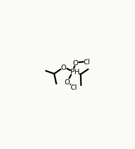 CC(C)O[PH](OCl)(OCl)C(C)C